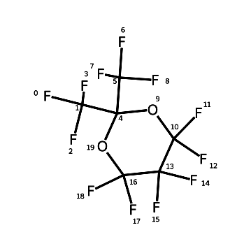 FC(F)(F)C1(C(F)(F)F)OC(F)(F)C(F)(F)C(F)(F)O1